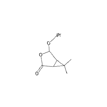 CC(C)OC1OC(=O)C2C1C2(C)C